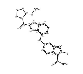 CNC(=O)c1c(C)oc2cc(Oc3ccnc4cc(C(=O)N5CCCC5COC)sc34)ccc12